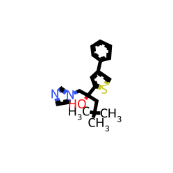 CC(C)(C)CC(O)(Cn1ccnc1)c1cc(-c2ccccc2)cs1